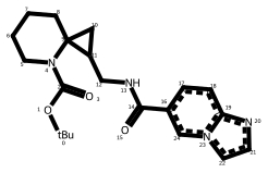 CC(C)(C)OC(=O)N1CCCCC12CC2CNC(=O)c1ccc2nccn2c1